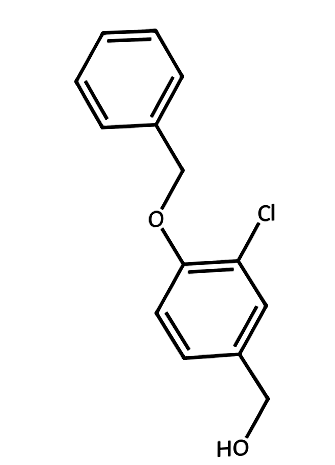 OCc1ccc(OCc2ccccc2)c(Cl)c1